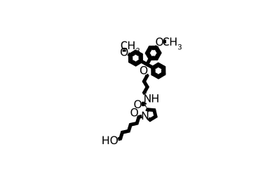 COc1ccc(C(OCCCCNC(=O)[C@@H]2CCCN2C(=O)CCCCCO)(c2ccccc2)c2ccc(OC)cc2)cc1